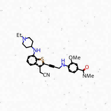 CCN1CCC(Nc2cccc3c(CC#N)c(C#CCNc4ccc(C(=O)NC)cc4OC)sc23)CC1